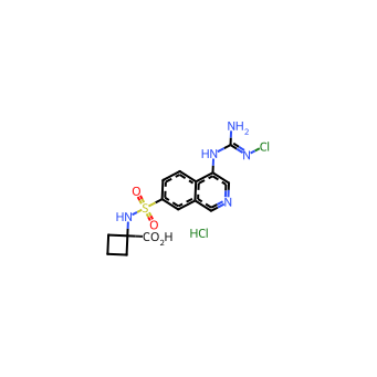 Cl.NC(=NCl)Nc1cncc2cc(S(=O)(=O)NC3(C(=O)O)CCC3)ccc12